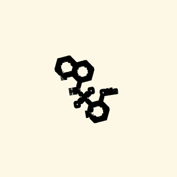 COc1cccnc1S(=O)(=O)Nc1cccc2cccnc12